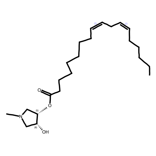 CCCCC/C=C\C/C=C\CCCCCCCC(=O)O[C@H]1CN(C)C[C@H]1O